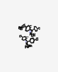 O/N=C(/c1[c-]cc(Cl)cc1)c1ccc(Cl)cc1.O/N=C(/c1[c-]cc(Cl)cc1)c1ccc(Cl)cc1.[Cl-].[Cl-].[Pd+2].[Pd+2]